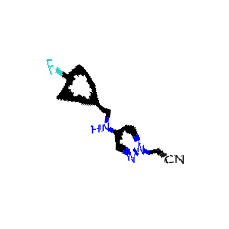 N#CCn1cc(NCc2ccc(F)cc2)cn1